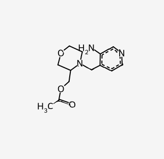 CC(=O)OCC1COCCN1Cc1ccncc1N